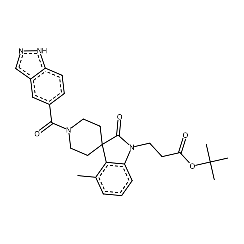 Cc1cccc2c1C1(CCN(C(=O)c3ccc4[nH]ncc4c3)CC1)C(=O)N2CCC(=O)OC(C)(C)C